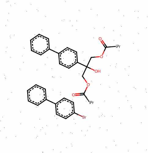 Brc1ccc(-c2ccccc2)cc1.CC(C)C(=O)OCC(O)(COC(=O)C(C)C)c1ccc(-c2ccccc2)cc1